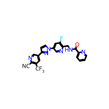 N#Cc1ncc(-c2ccn(-c3cnc(CNC(=O)c4ccccn4)c(F)c3)n2)cc1C(F)(F)F